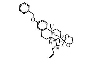 C=CC[C@@H]1CC2(OCCO2)[C@@]2(C)CC[C@@H]3c4ccc(OCc5ccccc5)cc4CC[C@H]3[C@H]12